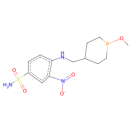 COP1CCC(CNc2ccc(S(N)(=O)=O)cc2[N+](=O)[O-])CC1